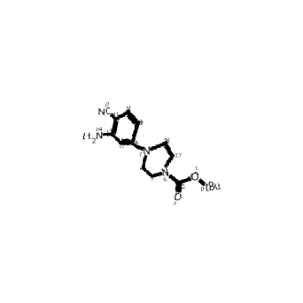 CC(C)(C)OC(=O)N1CCN(c2ccc(C#N)c(N)c2)CC1